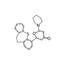 O=c1cc(-c2cccc3c2Sc2ccccc2CC3)oc(N2CCCCC2)c1